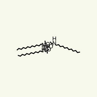 CCCCCCCCCCCCNC(C)OP(=O)(OC(C)NCCCCCCCCCCCC)OC(C)NCCCCCCCCCCCC